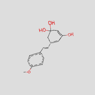 COc1ccc(/C=C/C2=CC(O)=CC(O)(O)C2)cc1